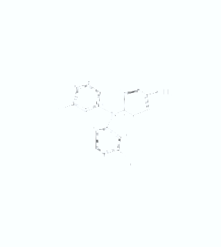 CC1=CCC(N(c2cccc(C)c2)c2cccc(C)c2)C=C1